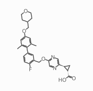 Cc1cc(OCC2CCOCC2)cc(C)c1-c1ccc(F)c(COc2cnc([C@H]3C[C@@H]3C(=O)O)cn2)c1